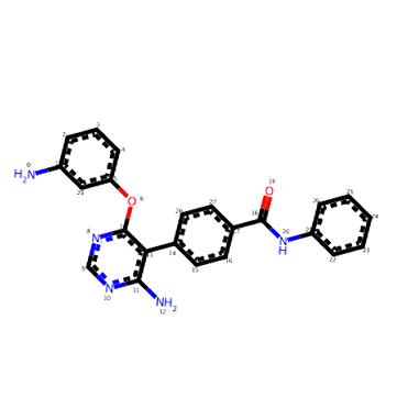 Nc1cccc(Oc2ncnc(N)c2-c2ccc(C(=O)Nc3ccccc3)cc2)c1